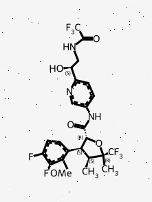 COc1c([C@H]2[C@H](C(=O)Nc3ccc([C@@H](O)CNC(=O)C(F)(F)F)nc3)O[C@@](C)(C(F)(F)F)[C@H]2C)ccc(F)c1F